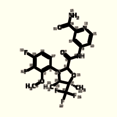 COc1c(N2C(C(=O)Nc3ccnc(C(N)=O)c3)O[C@@](C)(C(F)(F)F)[C@H]2C)ccc(F)c1F